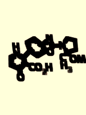 COC1(C)CCCN1c1nc2ccc(-c3[nH]ccc(=O)c3C(=O)O)cc2o1